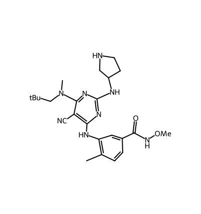 CONC(=O)c1ccc(C)c(Nc2nc(NC3CCNC3)nc(N(C)CC(C)(C)C)c2C#N)c1